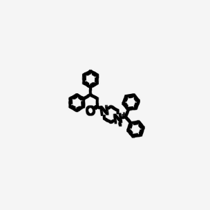 C[N+]1(C(c2ccccc2)c2ccccc2)CCN(C(=O)CC(c2ccccc2)c2ccccc2)CC1